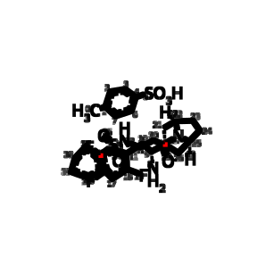 Cc1ccc(S(=O)(=O)O)cc1.N[C@H](Cc1cc(F)c(F)cc1F)[C@@H]1C[C@H]2CC[C@@H](C1)N2C(=O)CCNS(=O)(=O)c1ccccc1